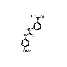 COc1ccc(NC(=O)Nc2cccc(B(O)O)c2)cc1